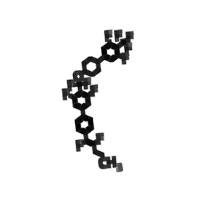 CCC/C(F)=C(\F)c1ccc(-c2cc(F)c(C(F)(F)OC3CCC(c4cc(F)c(C(F)(F)F)c(F)c4)CC3)c(F)c2)cc1